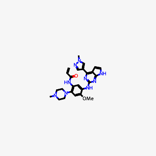 C=CC(=O)Nc1cc(Nc2nc(-c3cnn(C)c3)c3cc[nH]c3n2)c(OC)cc1N1CCN(C)CC1